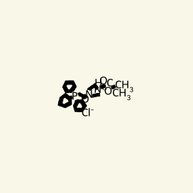 CC(C)(C)OC(=O)N1CCN(C(=O)C[P+](c2ccccc2)(c2ccccc2)c2ccccc2)CC1.[Cl-]